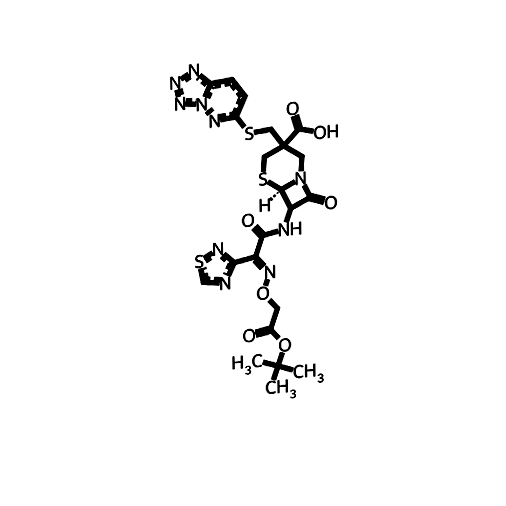 CC(C)(C)OC(=O)CON=C(C(=O)NC1C(=O)N2CC(CSc3ccc4nnnn4n3)(C(=O)O)CS[C@H]12)c1ncsn1